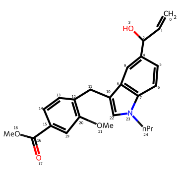 C=CC(O)c1ccc2c(c1)c(Cc1ccc(C(=O)OC)cc1OC)cn2CCC